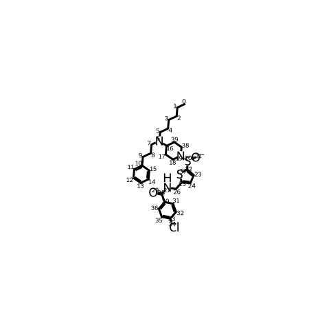 CCCCCCN(CCCc1ccccc1)C1CCN([S+]([O-])c2ccc(CNC(=O)c3ccc(Cl)cc3)s2)CC1